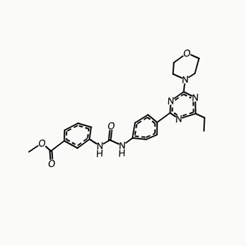 CCc1nc(-c2ccc(NC(=O)Nc3cccc(C(=O)OC)c3)cc2)nc(N2CCOCC2)n1